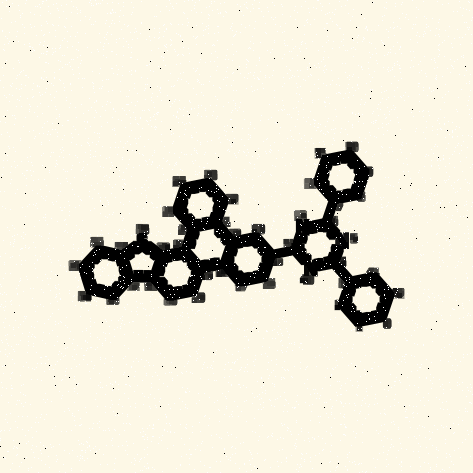 c1ccc(-c2nc(-c3ccccc3)nc(-c3ccc4c(c3)c3ccccc3c3c4ccc4c5ccccc5sc43)n2)cc1